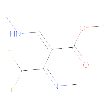 C/N=C(\C(=C/NC)C(=O)OC)C(F)F